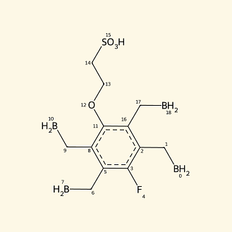 BCc1c(F)c(CB)c(CB)c(OCCS(=O)(=O)O)c1CB